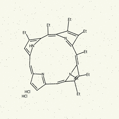 CCC1=C(CC)c2nc1c(CC)c1[nH]c(cc3nc(cc4c(CC)c(CC)c(c2CC)n4CC)C=C3)cc1CC.Cl.Cl